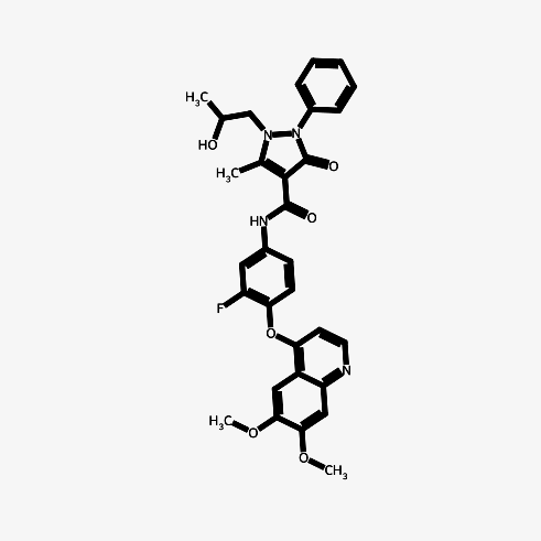 COc1cc2nccc(Oc3ccc(NC(=O)c4c(C)n(CC(C)O)n(-c5ccccc5)c4=O)cc3F)c2cc1OC